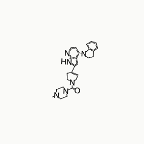 CN1CCN(C(=O)N2CC=C(c3cc4c(N5CCc6ccccc65)ccnc4[nH]3)CC2)CC1